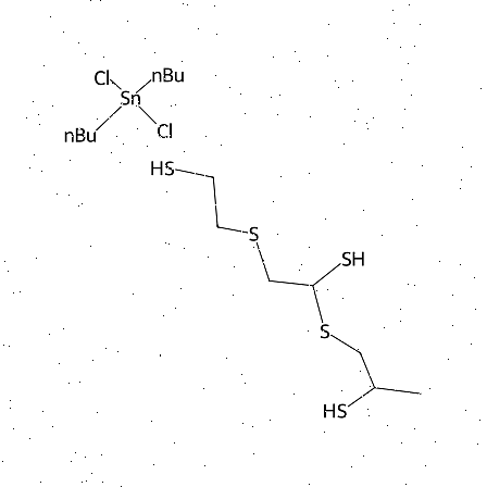 CC(S)CSC(S)CSCCS.CCC[CH2][Sn]([Cl])([Cl])[CH2]CCC